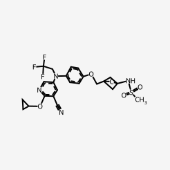 CS(=O)(=O)NC12CC(COc3ccc(N(CC(F)(F)F)c4cnc(OC5CC5)c(C#N)c4)cc3)(C1)C2